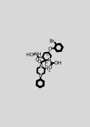 C[C@@]1(C(=O)N2CCN(c3ccccc3)CC2)[C@@H](C(=O)NO)C[C@H](Oc2ccccc2Br)CN1C(=O)O